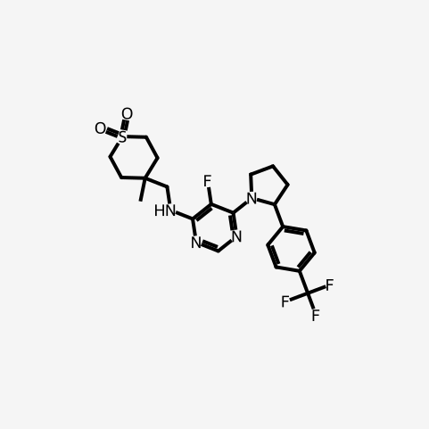 CC1(CNc2ncnc(N3CCCC3c3ccc(C(F)(F)F)cc3)c2F)CCS(=O)(=O)CC1